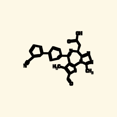 Cc1c(C=O)sc2c1C(c1ccc(-c3cccc(C#N)c3)cc1)=N[C@@H](CC(=O)O)c1nnc(C)n1-2